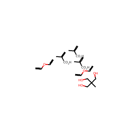 C=C(C)C(=O)O.C=C(C)C(=O)O.C=C(C)C(=O)O.C=COC=C.C=COC=C.CC(CO)(CO)CO